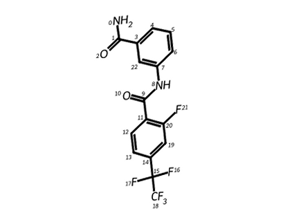 NC(=O)c1cccc(NC(=O)c2ccc(C(F)(F)C(F)(F)F)cc2F)c1